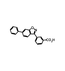 O=C(O)c1cccc(-c2noc3cc(-c4ccccc4)ccc23)c1